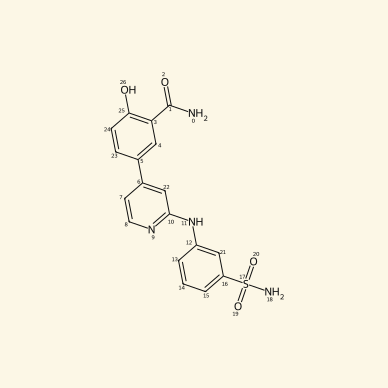 NC(=O)c1cc(-c2ccnc(Nc3cccc(S(N)(=O)=O)c3)c2)ccc1O